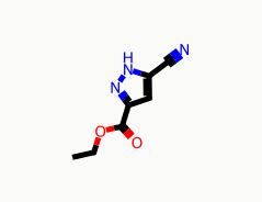 CCOC(=O)c1cc(C#N)[nH]n1